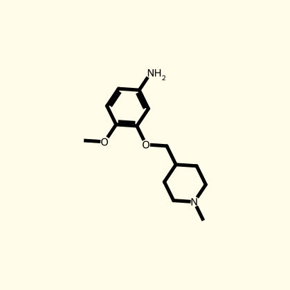 COc1ccc(N)cc1OCC1CCN(C)CC1